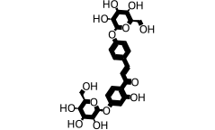 O=C(C=Cc1ccc(O[C@@H]2O[C@H](CO)[C@@H](O)[C@H](O)[C@H]2O)cc1)c1ccc(O[C@@H]2O[C@H](CO)[C@@H](O)[C@H](O)[C@H]2O)cc1O